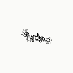 CC1(C)OB(c2cccc(S(=O)(=O)c3ccc(NC(=O)OCc4ccccc4)c(F)c3)c2)OC1(C)C